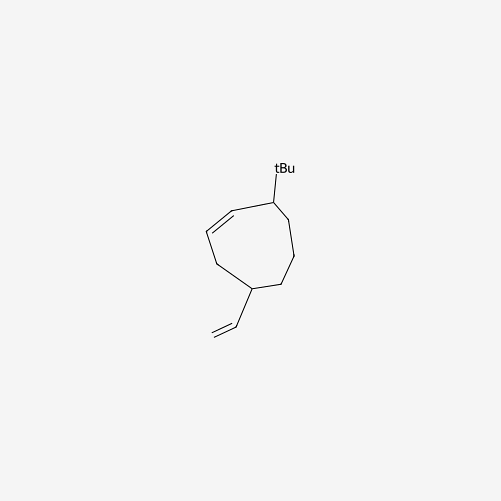 C=CC1CC=CC(C(C)(C)C)CCC1